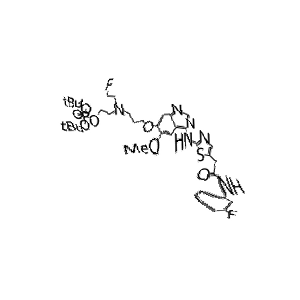 COc1cc2c(Nc3ncc(CC(=O)Nc4cccc(F)c4)s3)ncnc2cc1OCCCN(CCF)CCOP(=O)(OC(C)(C)C)OC(C)(C)C